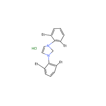 CCc1cccc(CC)c1N1C=CN(c2c(CC)cccc2CC)C1.Cl